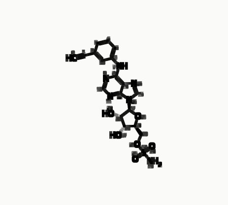 C#Cc1cccc(Nc2ncnc3c2ncn3[C@H]2O[C@@H](COS(N)(=O)=O)[C@H](O)[C@@H]2O)c1